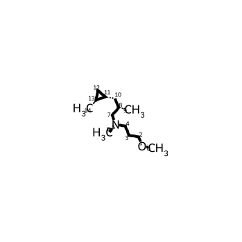 COCCCN(C)C[C@@H](C)C[C@H]1C[C@H]1C